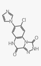 O=c1[nH]c2cc(-n3ccnc3)c(Cl)cc2n2c(=O)[nH]nc12